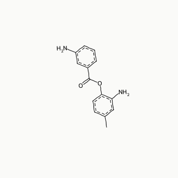 Cc1ccc(OC(=O)c2cccc(N)c2)c(N)c1